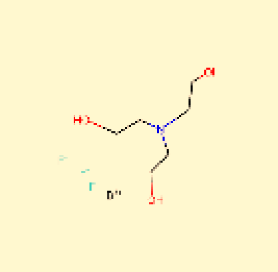 OCCN(CCO)CCO.[B+3].[F-].[F-].[F-]